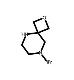 CC(C)N1CCNC2(COC2)C1